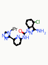 CC(C)n1cnnc1-c1cccc(NC(=O)n2nc(N)c3c(Cl)cccc32)n1